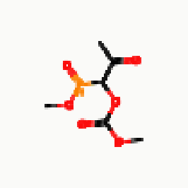 COC(=O)OC(C(C)=O)[PH](=O)OC